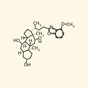 COc1cccc2oc(CCC(C)[C@H]3CC[C@H]4[C@@H]5[C@H](O)C[C@@H]6C[C@H](O)CC[C@]6(C)[C@H]5C[C@H](O)[C@]34C)nc12